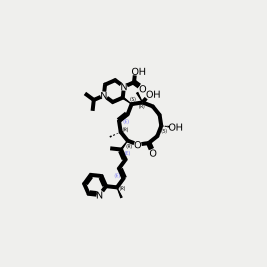 C/C(=C\C=C\[C@@H](C)c1ccccn1)[C@@H]1OC(=O)C[C@@H](O)CC[C@@](C)(O)[C@H](C2CN(C(C)C)CCN2C(=O)O)/C=C/[C@H]1C